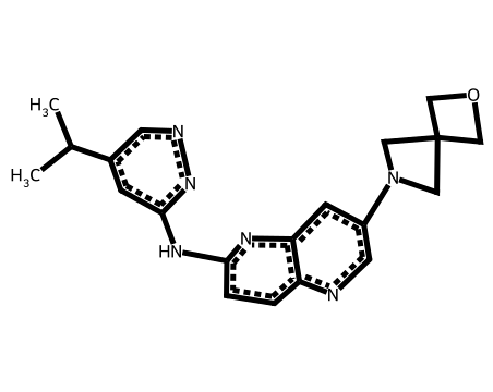 CC(C)c1cnnc(Nc2ccc3ncc(N4CC5(COC5)C4)cc3n2)c1